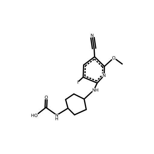 COc1nc(NC2CCC(NC(=O)O)CC2)c(I)cc1C#N